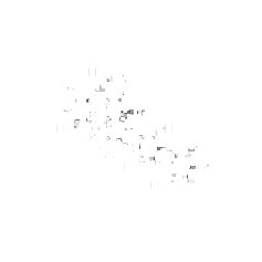 CCCO[C@@H]1OC(C)[C@H](O)[C@H](O[C@H]2O[C@@H](CO)[C@@H](O)C(O)C2O)C1O[C@@H]1OC(CO)[C@@H](O)C(O[C@@H]2OC(C)[C@H](O)[C@H](O[C@@H]3OC(C)[C@H](O)[C@H](O)C3O)C2O)[C@@H]1NC(C)=O